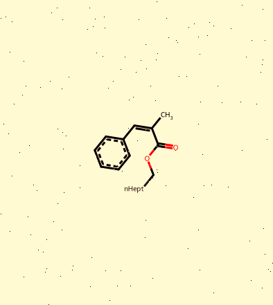 CCCCCCCCOC(=O)C(C)=Cc1ccccc1